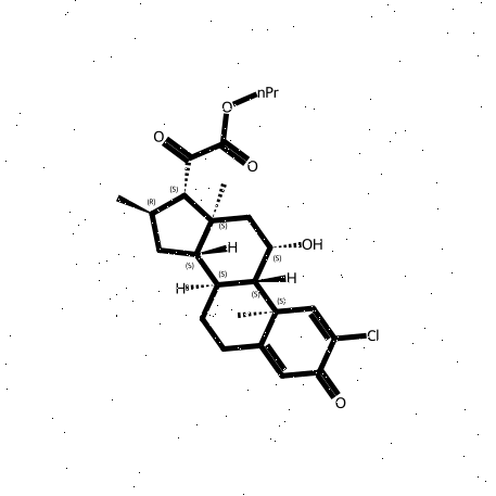 CCCOC(=O)C(=O)[C@H]1[C@H](C)C[C@H]2[C@@H]3CCC4=CC(=O)C(Cl)=C[C@]4(C)[C@H]3[C@@H](O)C[C@@]21C